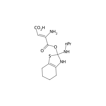 CCCNC1(OC(=O)/C(N)=C/C(=O)O)NC2=C(CCCC2)S1